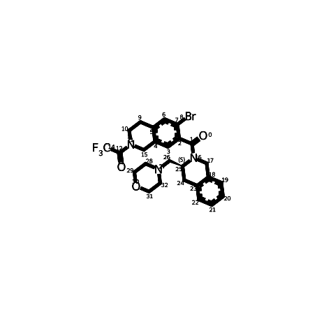 O=C(c1cc2c(cc1Br)CCN(C(=O)C(F)(F)F)C2)N1Cc2ccccc2C[C@H]1CN1CCOCC1